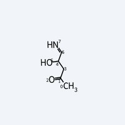 CC(=O)CC(O)C=N